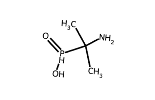 CC(C)(N)[PH](=O)O